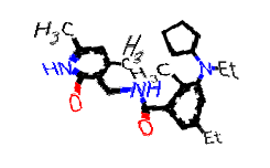 CCc1cc(C(=O)NCc2c(C)cc(C)[nH]c2=O)c(C)c(N(CC)C2CCCC2)c1